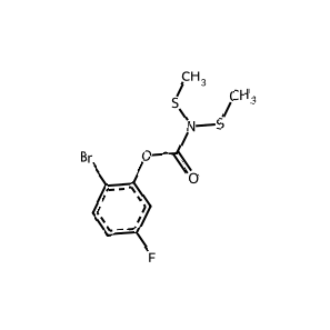 CSN(SC)C(=O)Oc1cc(F)ccc1Br